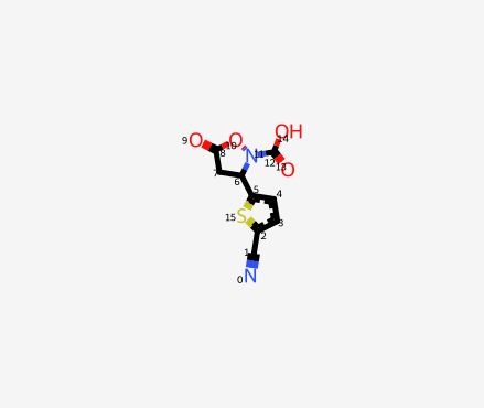 N#Cc1ccc(C2CC(=O)ON2C(=O)O)s1